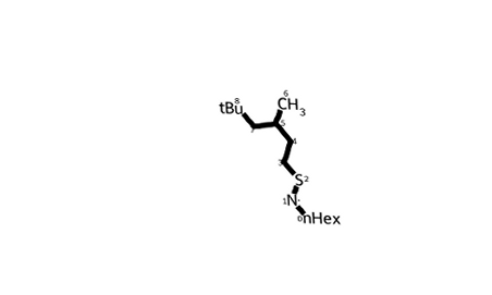 CCCCCC[N]SCCC(C)CC(C)(C)C